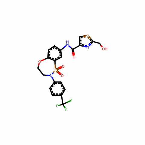 O=C(Nc1ccc2c(c1)S(=O)(=O)N(c1ccc(C(F)(F)F)cc1)CCO2)c1csc(CO)n1